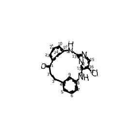 O=C1CCc2cccc(c2)Nc2nc(ncc2Cl)Nc2cccc1c2